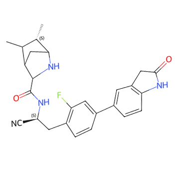 CC1C2CC(NC2C(=O)N[C@H](C#N)Cc2ccc(-c3ccc4c(c3)CC(=O)N4)cc2F)[C@H]1C